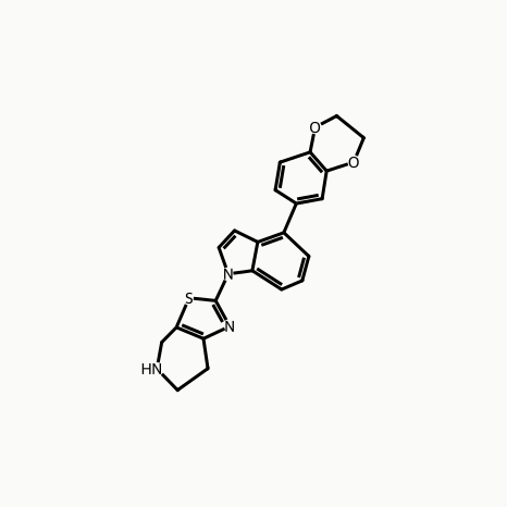 c1cc(-c2ccc3c(c2)OCCO3)c2ccn(-c3nc4c(s3)CNCC4)c2c1